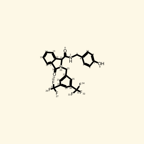 O=C(NCc1ccc(O)cc1)C1c2ccccc2C(=O)N1Cc1cc(C(F)(F)F)cc(C(F)(F)F)c1